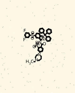 CCN1CCCN(c2ccc(C(=O)Nc3nn(C(c4ccccc4)(c4ccccc4)c4ccccc4)c4ccc(S(=O)(=O)c5cc(F)cc(F)c5)cc34)c([N+](=O)[O-])c2)CC1